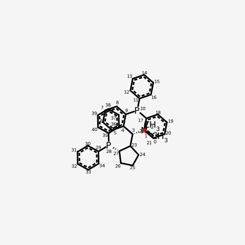 CN(C)[C@@H](c1ccccc1P(c1ccccc1)c1ccccc1)C1CCC[C@@H]1P(c1ccccc1)c1ccccc1